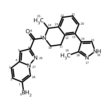 Bc1ccc2cc(C(=O)N3CCc4c(-c5c[nH]nc5C)cccc4C3C)nn2c1